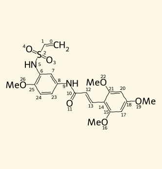 C=CS(=O)(=O)Nc1cc(NC(=O)/C=C/c2c(OC)cc(OC)cc2OC)ccc1OC